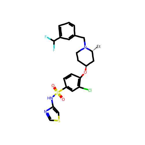 CC[C@@H]1C[C@@H](Oc2ccc(S(=O)(=O)Nc3cscn3)cc2Cl)CCN1Cc1cccc(C(F)F)c1